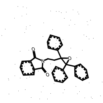 O=C1c2ccccc2C(=O)N1CCC1(c2ccccc2)OC1(c1ccccc1)c1ccccc1